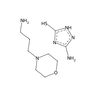 NCCCN1CCOCC1.Nc1n[nH]c(S)n1